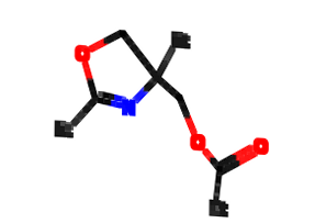 CCC(=O)OCC1(CC)COC(CC)=N1